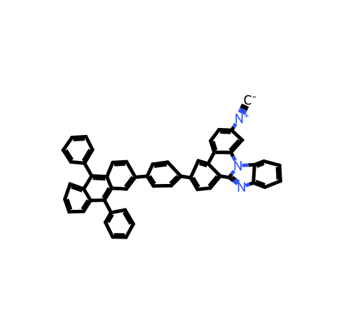 [C-]#[N+]c1ccc2c3cc(-c4ccc(-c5ccc6c(-c7ccccc7)c7ccccc7c(-c7ccccc7)c6c5)cc4)ccc3c3nc4ccccc4n3c2c1